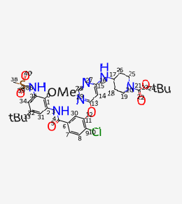 COc1c(NC(=O)c2ccc(Cl)c(Oc3cc(NC4CCN(C(=O)OC(C)(C)C)CC4)ncn3)c2)cc(C(C)(C)C)cc1NS(C)(=O)=O